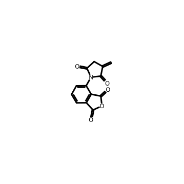 C=C1CC(=O)N(c2cccc3c2C(=O)OC3=O)C1=O